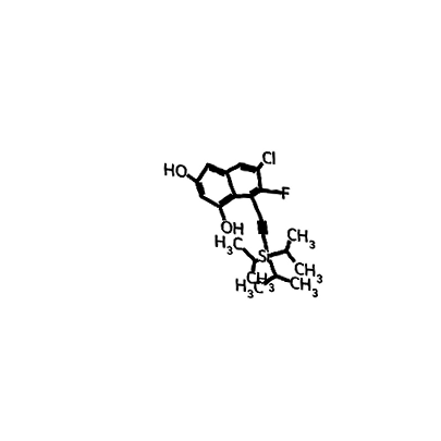 CC(C)[Si](C#Cc1c(F)c(Cl)cc2cc(O)cc(O)c12)(C(C)C)C(C)C